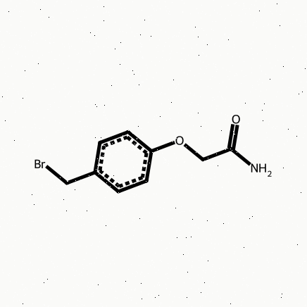 NC(=O)COc1ccc(CBr)cc1